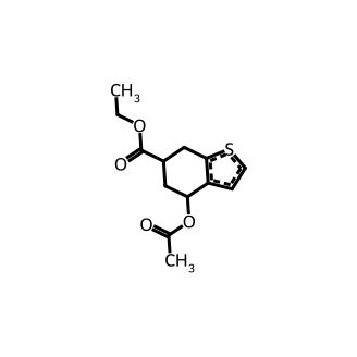 CCOC(=O)C1Cc2sccc2C(OC(C)=O)C1